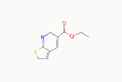 CCOC(=O)C1=CC2=CCSC2=NC1